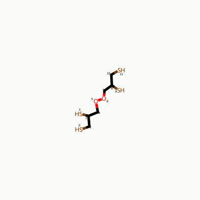 SCC(S)COOCC(S)CS